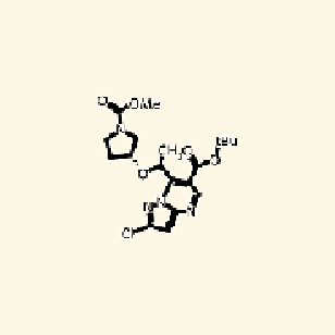 COC(=O)N1CC[C@@H](O[C@@H](C)c2c(C(=O)OC(C)(C)C)cnc3cc(Cl)nn23)C1